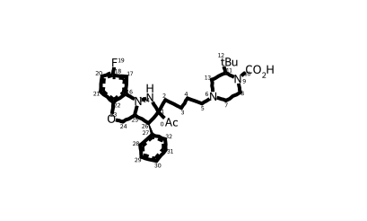 CC(=O)C1(CCCCN2CCN(C(=O)O)C(C(C)(C)C)C2)NN2c3cc(F)ccc3OCC2[C@@H]1c1ccccc1